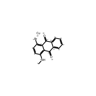 CNc1ccc(Br)c2c1C(=O)c1ccccc1C2=O.[Cu]